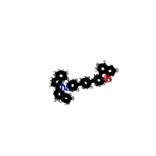 c1cc2c3c(cccc3c1)-c1cc(-c3ccc(-c4ccc(-n5c6c7ccccc7ccc6c6ccc7ccccc7c65)cc4)cc3)ccc1O2